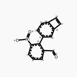 O=Cc1cccc([N+](=O)[O-])c1-c1ccc2c(c1)C=C2